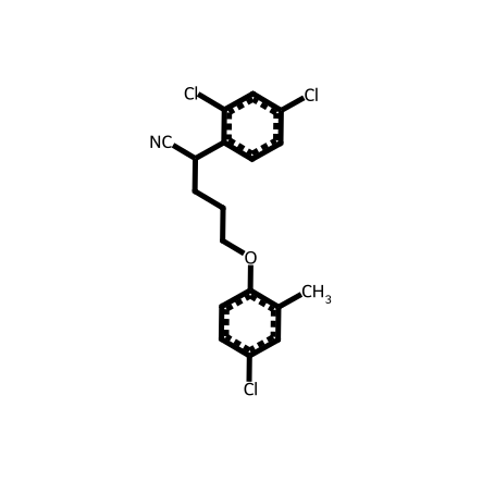 Cc1cc(Cl)ccc1OCCCC(C#N)c1ccc(Cl)cc1Cl